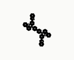 c1ccc2sc(-c3ccc(N(c4ccc(-c5ccc(N(c6ccc(-c7cc8ccccc8s7)cc6)c6cccc7c6oc6ccccc67)cc5)cc4)c4cccc5c4oc4ccccc45)cc3)cc2c1